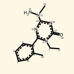 CCn1c(-c2ccccc2C)nc(N(C)N)nc1=O